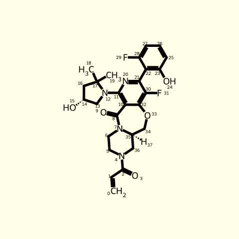 C=CC(=O)N1CCN2C(=O)c3c(N4C[C@H](O)CC4(C)C)nc(-c4c(O)cccc4F)c(F)c3OC[C@H]2C1